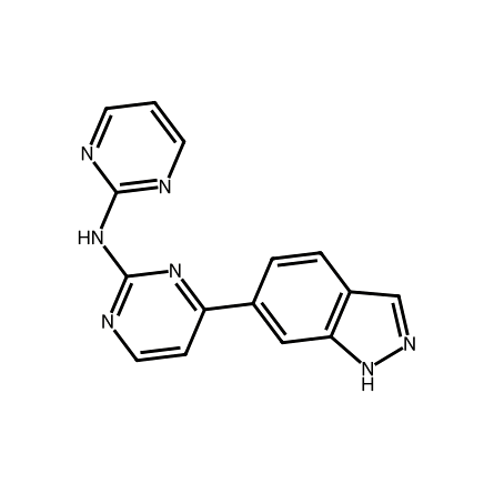 c1cnc(Nc2nccc(-c3ccc4cn[nH]c4c3)n2)nc1